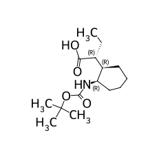 CC[C@@H](C(=O)O)[C@H]1CCCC[C@H]1NC(=O)OC(C)(C)C